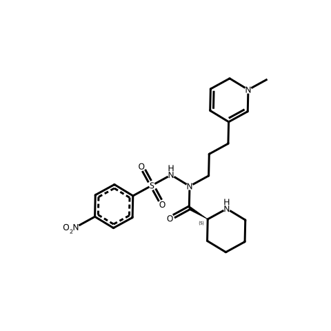 CN1C=C(CCCN(NS(=O)(=O)c2ccc([N+](=O)[O-])cc2)C(=O)[C@@H]2CCCCN2)C=CC1